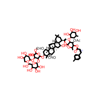 C=C(OC1OC(C)C(OC(=O)/C=C\c2ccc(C)cc2)C(OC(C)=O)C1OC1CC(C)C(O)C(O)C1O)[C@@H]1CC(C)(C)C[C@@H]2C1[C@H](O)C[C@]1(C)C2C=C[C@@H]2[C@@]3(C)CC[C@H](OC4OC(OC=O)C(O)C(OC5OCC(O)C(O)C5O)C4OC4OC(CO)C(O)C(O)C4O)[C@@](C)(C=O)[C@@H]3CC[C@]21C